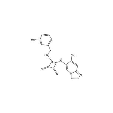 Cc1cc2nccn2cc1Nc1c(NCc2cccc(O)c2)c(=O)c1=O